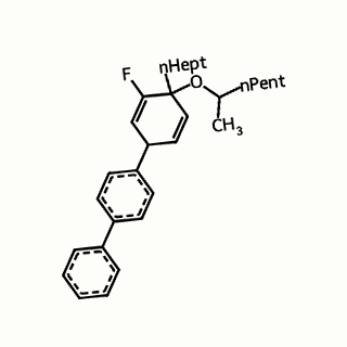 CCCCCCCC1(OC(C)CCCCC)C=CC(c2ccc(-c3ccccc3)cc2)C=C1F